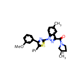 COc1cccc(-c2nc(-n3nc(C(=O)N4CC[C@@H](C)C4)c4cc(C)ccc43)sc2C(C)C)c1